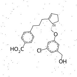 O=C(O)c1ccc(CCCC2=CCC[C@@H]2COc2cc(Cl)cc(CO)c2)cc1